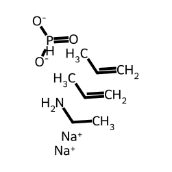 C=CC.C=CC.CCN.O=[PH]([O-])[O-].[Na+].[Na+]